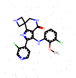 COc1c(Cl)cccc1Nc1c(-c2ccncc2F)[nH]c2c1C(=O)NCC21CNC1